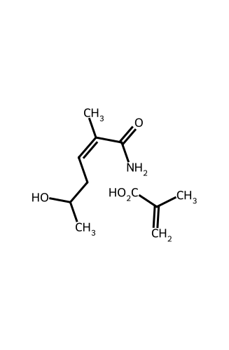 C=C(C)C(=O)O.CC(=CCC(C)O)C(N)=O